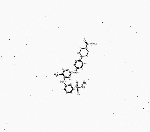 CNC(=O)N1CCN(c2ccc(Nc3ncc(C)c(Nc4cccc(S(=O)(=O)NC(C)(C)C)c4)n3)cc2)CC1